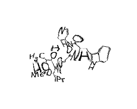 CO[C@H](/C(=N/OCC(=O)N[C@@H](Cc1c[nH]c2ccccc12)C(=O)Nc1ccncc1)C(O)C(C)O)C(C)C